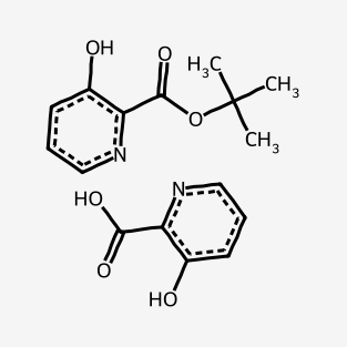 CC(C)(C)OC(=O)c1ncccc1O.O=C(O)c1ncccc1O